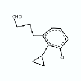 O=CCCCc1cccc(Cl)c1C1CC1